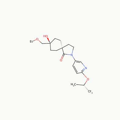 CCOC[C@]1(O)CC[C@@]2(CCN(c3ccc(O[C@@H](C)C(F)(F)F)nc3)C2=O)CC1